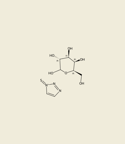 OC[C@H]1OC(O)[C@H](O)[C@@H](O)[C@H]1O.S=[N+]1C=CN=N1